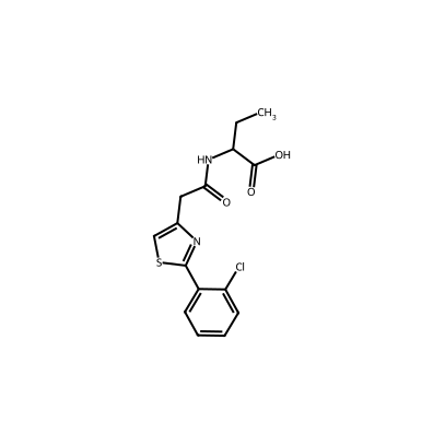 CCC(NC(=O)Cc1csc(-c2ccccc2Cl)n1)C(=O)O